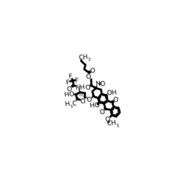 CCCCC(=O)OCC(=O)[C@]1(N=O)Cc2c(O)c3c(c(O)c2[C@@H](O[C@H]2C[C@H](NC(=O)C(F)(F)F)[C@H](O)[C@H](C)O2)C1)C(=O)c1c(OC)cccc1C3=O